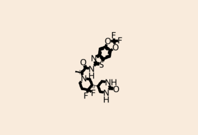 C[C@@H](C(=O)Nc1nc2cc3c(cc2s1)OC(F)(F)O3)N1CCC(F)(F)[C@@H](C2CNC(=O)NC2)C1